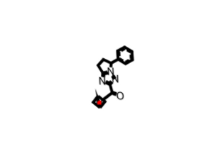 O=C(c1nc2n(n1)C(c1ccccc1)CC2)N1CC2CC1C2